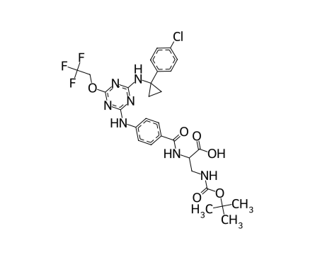 CC(C)(C)OC(=O)NCC(NC(=O)c1ccc(Nc2nc(NC3(c4ccc(Cl)cc4)CC3)nc(OCC(F)(F)F)n2)cc1)C(=O)O